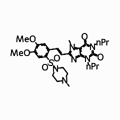 CCCn1c(=O)c2c(nc(C=Cc3cc(OC)c(OC)cc3S(=O)(=O)N3CCN(C)CC3)n2C)n(CCC)c1=O